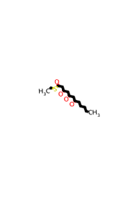 CCCCCC(=O)CC(=O)CC(=O)CC(=O)SCC